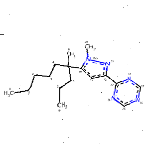 CCCCCC(C)(CCC)c1cc(-c2ncncn2)nn1C